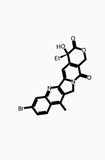 CC[C@@]1(O)C(=O)OCc2c1cc1n(c2=O)Cc2c-1nc1cc(Br)ccc1c2C